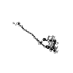 CC(=O)SCCOCCOCCOCCOCCOCCOCCOCCOCCC(=O)NCCCOc1ccc(NC(=O)[C@H](CC(=O)O)NC(=O)CNC(=O)c2csc(NC(=O)NCc3ccccc3)n2)cc1